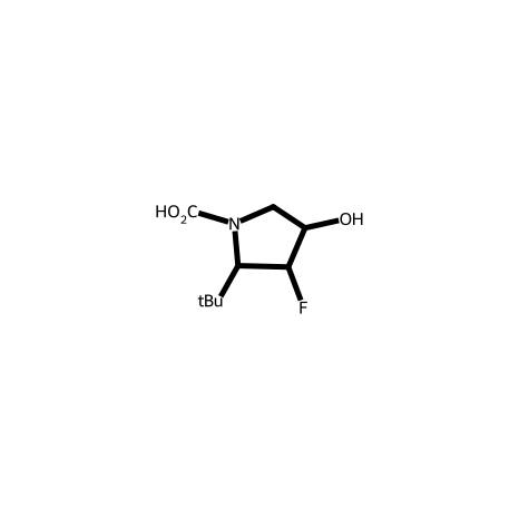 CC(C)(C)C1C(F)C(O)CN1C(=O)O